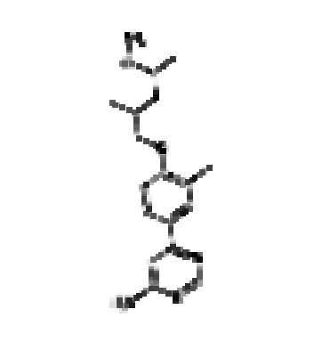 Cc1cc(-c2cc(N)ncn2)ccc1OCC(C)CC(C)NN